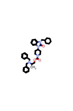 C[C@@H](COC(=O)N1CCC(n2c(=O)n(CC3CCCCC3)c3ccccc32)CC1)N(Cc1ccccc1)Cc1ccccc1